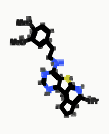 CCCc1nc2sc3c(NCCc4ccc(OC)c(OC)c4)ncnc3c2c2c1CCC2